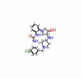 NC(=O)Nc1ccccc1N1CC(O)C(NC2CCN(Cc3ccc(Cl)cc3)CC2)C1